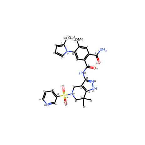 COc1cc(C(N)=O)c(C(=O)Nc2n[nH]c3c2CN(S(=O)(=O)c2cccnc2)CC3(C)C)cc1-n1cccc1C(=O)O